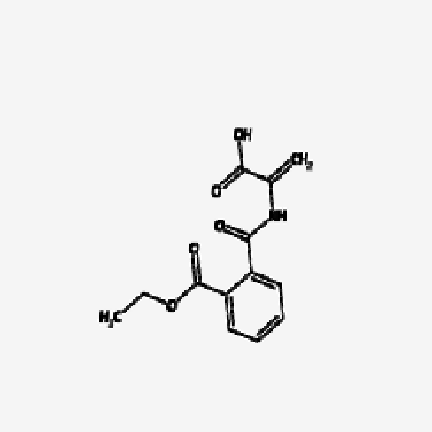 C=C(NC(=O)c1ccccc1C(=O)OCC)C(=O)O